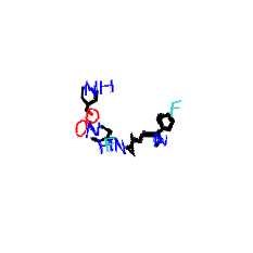 C=N/C(=C\C=C(/C)C1CC1NCC1(F)CCN(C(=O)OCC2CCNCC2)CC1)c1ccc(F)cc1